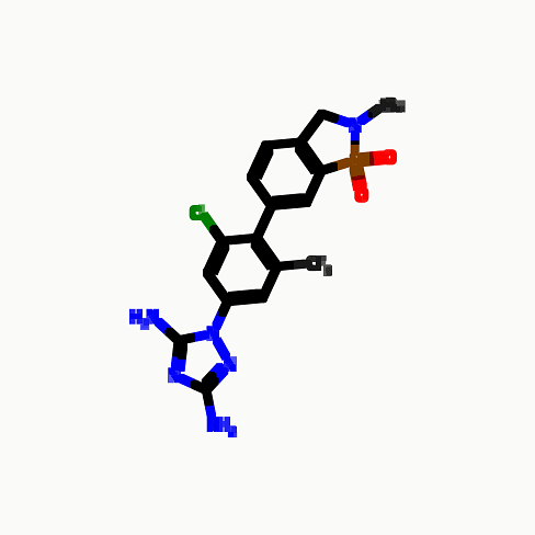 CC(C)(C)N1Cc2ccc(-c3c(Cl)cc(-n4nc(N)nc4N)cc3C(F)(F)F)cc2S1(=O)=O